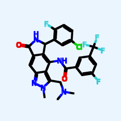 CN(C)Cc1c2c(NC(=O)c3cc(F)cc(C(F)(F)F)c3)c3c(cc2nn1C)C(=O)NC3c1cc(Cl)ccc1F